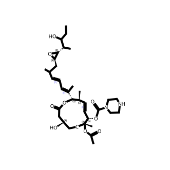 CCC(O)C(C)[C@H]1O[C@@H]1CC(C)/C=C/C=C(\C)[C@H]1OC(=O)C[C@H](O)CC[C@@](C)(OC(C)=O)[C@@H](OC(=O)N2CCNCC2)/C=C/[C@@H]1C